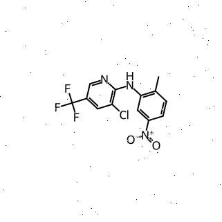 Cc1ccc([N+](=O)[O-])cc1Nc1ncc(C(F)(F)F)cc1Cl